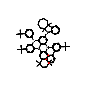 CC(C)(C)c1cccc(N2c3cc(C(C)(C)C)ccc3B3c4cc5c(cc4N(c4ccc(C(C)(C)C)cc4-c4ccccc4)c4cc(N6c7ccccc7C7(C)CCCCCC67C)cc2c43)C(C)(C)CCC5(C)C)c1